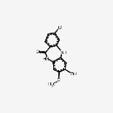 COc1cc2c(cc1O)Nc1cc(Cl)ccc1C(=O)N2